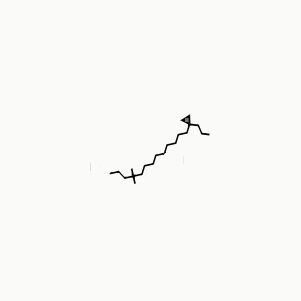 CCCC1(CCCCC(O)CCCCC(C)(C)CCCO)CC1